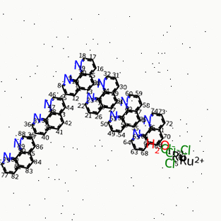 O.[Cl-].[Cl-].[Cl][Ru][Cl].[Ru+2].c1cnc2c(c1)ccc1cccnc12.c1cnc2c(c1)ccc1cccnc12.c1cnc2c(c1)ccc1cccnc12.c1cnc2c(c1)ccc1cccnc12.c1cnc2c(c1)ccc1cccnc12.c1cnc2c(c1)ccc1cccnc12